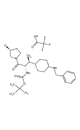 C[C@@H](C1CCC(NCc2ccccc2)CC1)[C@H](NC(=O)OC(C)(C)C)C(=O)N1CC[C@H](F)C1.O=C(O)C(F)(F)F